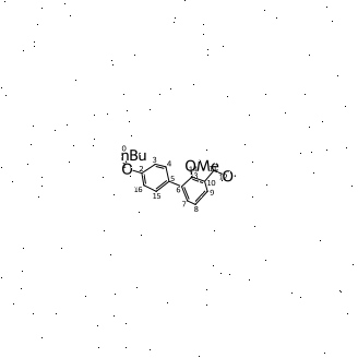 CCCCOc1ccc(-c2cccc(C[O])c2OC)cc1